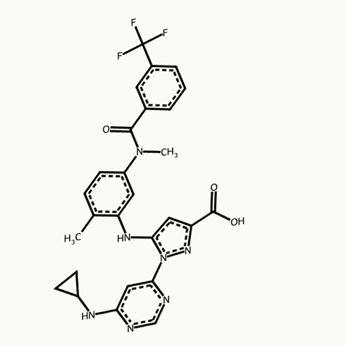 Cc1ccc(N(C)C(=O)c2cccc(C(F)(F)F)c2)cc1Nc1cc(C(=O)O)nn1-c1cc(NC2CC2)ncn1